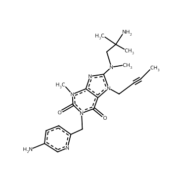 CC#CCn1c(N(C)CC(C)(C)N)nc2c1c(=O)n(Cc1ccc(N)cn1)c(=O)n2C